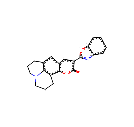 O=c1oc2c3c4c(cc2cc1-c1nc2ccccc2o1)CCCN4CCC3